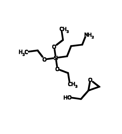 CCO[Si](CCCN)(OCC)OCC.OCC1CO1